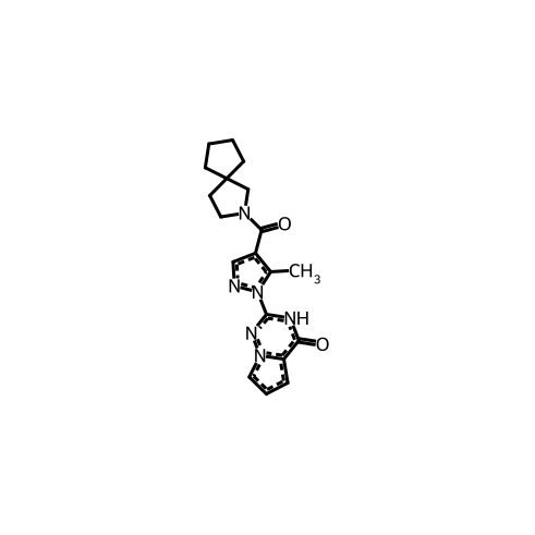 Cc1c(C(=O)N2CCC3(CCCC3)C2)cnn1-c1nn2cccc2c(=O)[nH]1